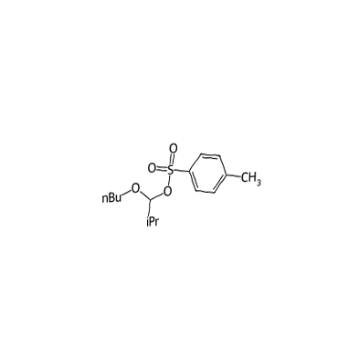 CCCCOC(OS(=O)(=O)c1ccc(C)cc1)C(C)C